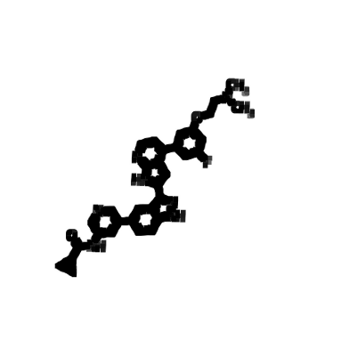 CN(C)CCOc1cc(F)cc(-c2ccnc3[nH]c(-c4n[nH]c5ccc(-c6cncc(NC(=O)C7CC7)c6)cc45)cc23)c1